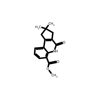 COC(=O)c1cccc2c3c(c(=O)[nH]c12)CC(C)(C)C3